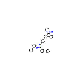 C1=CC2Nc3c(c4ccc(-c5ccc(C6=NC(c7cccc(-c8ccccc8)c7)NC(c7cccc(-c8ccccc8)c7)=N6)cc5)cc4c4ccccc34)N2C=C1